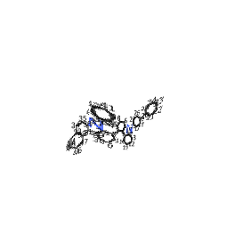 C1=CC(c2cccc3c2c2ccccc2n3-c2ccc(-c3ccccc3)cc2)C2C(=C1)C1C3=C(C=CC1N2c1ccccc1)CCC=C3